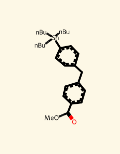 CCC[CH2][Sn]([CH2]CCC)([CH2]CCC)[c]1ccc(Cc2ccc(C(=O)OC)cc2)cc1